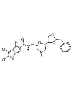 CN1CC(CNC(=O)c2cc3sc(Cl)c(Cl)c3[nH]2)OC(C2=COC(Cc3ccccc3)O2)C1